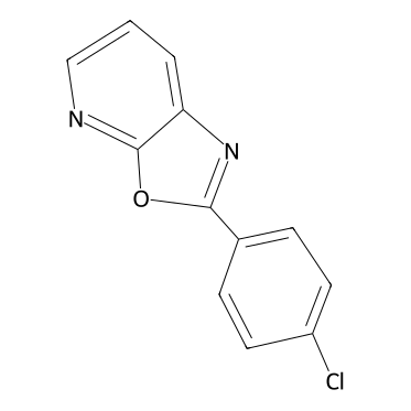 Clc1ccc(-c2nc3cccnc3o2)cc1